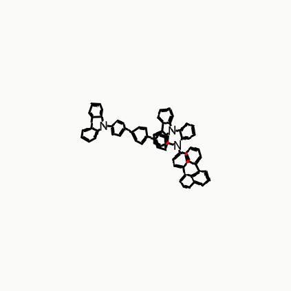 c1ccc(-c2cccc3cccc(-c4ccc(N(c5ccc(-c6ccc(-c7ccc(-n8c9ccccc9c9ccccc98)cc7)cc6)cc5)c5ccccc5-n5c6ccccc6c6ccccc65)cc4)c23)cc1